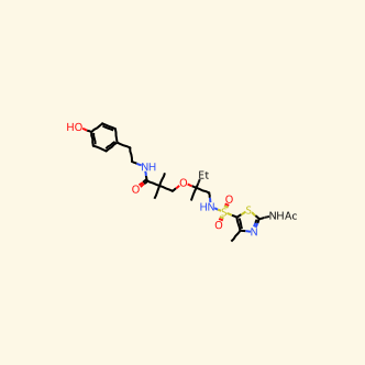 CCC(C)(CNS(=O)(=O)c1sc(NC(C)=O)nc1C)OCC(C)(C)C(=O)NCCc1ccc(O)cc1